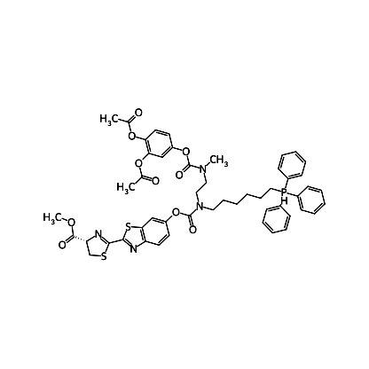 COC(=O)[C@H]1CSC(c2nc3ccc(OC(=O)N(CCCCCC[PH](c4ccccc4)(c4ccccc4)c4ccccc4)CCN(C)C(=O)Oc4ccc(OC(C)=O)c(OC(C)=O)c4)cc3s2)=N1